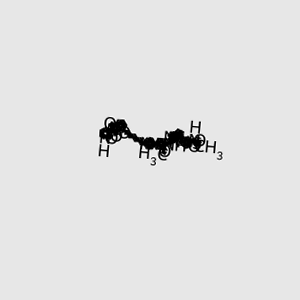 COc1cc(N2CCN(CCCCCCOc3cccc4c3C(=O)N(C3CCCNC3=O)C4=O)CC2)ccc1Nc1ncc2ccc(-c3cccc(NS(C)(=O)=O)c3)n2n1